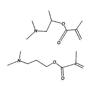 C=C(C)C(=O)OC(C)CN(C)C.C=C(C)C(=O)OCCCN(C)C